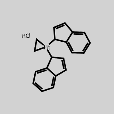 C1=C[CH]([Hf]2([CH]3C=Cc4ccccc43)[CH2][CH2]2)c2ccccc21.Cl